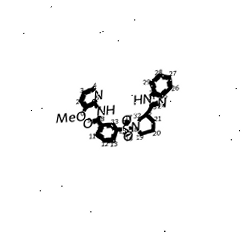 COc1cccnc1NC(=O)c1cccc(S(=O)(=O)N2CCCC(c3nc4ccccc4[nH]3)C2)c1